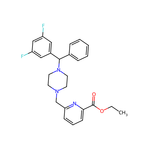 CCOC(=O)c1cccc(CN2CCN(C(c3ccccc3)c3cc(F)cc(F)c3)CC2)n1